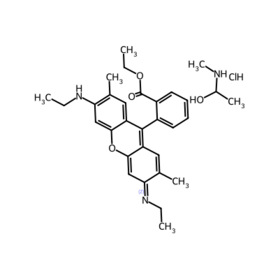 CC/N=c1/cc2oc3cc(NCC)c(C)cc3c(-c3ccccc3C(=O)OCC)c-2cc1C.CNC(C)O.Cl